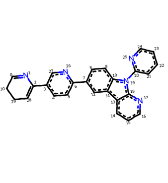 C1=NC(c2ccc(-c3ccc4c(c3)c3cccnc3n4-c3ccccn3)nc2)=CCC1